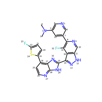 CN(C)c1cncc(-c2ncc3[nH]nc(-c4nc5c(-c6ccc(F)s6)ccnc5[nH]4)c3c2F)c1